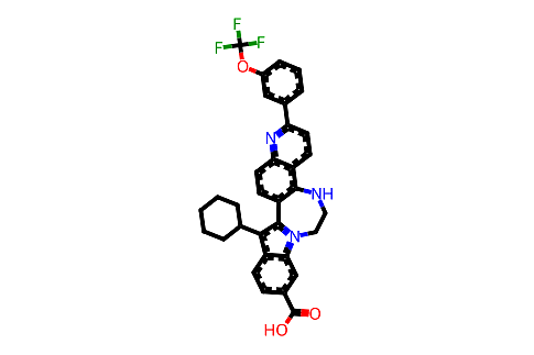 O=C(O)c1ccc2c(C3CCCCC3)c3n(c2c1)CCNc1c-3ccc2nc(-c3cccc(OC(F)(F)F)c3)ccc12